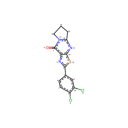 O=c1c2nc(-c3ccc(Cl)c(Cl)c3)sc2nc2n1CCC2